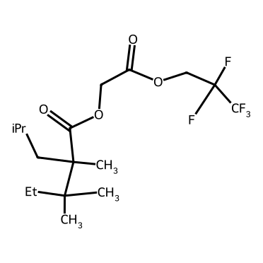 CCC(C)(C)C(C)(CC(C)C)C(=O)OCC(=O)OCC(F)(F)C(F)(F)F